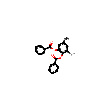 CCCc1cc(CCC)c(OC(=O)c2ccccc2)c(OC(=O)c2ccccc2)c1